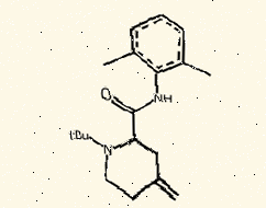 C=C1CCN(C(C)(C)C)C(C(=O)Nc2c(C)cccc2C)C1